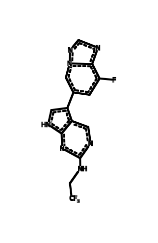 Fc1cc(-c2c[nH]c3nc(NCC(F)(F)F)ncc23)cn2ncnc12